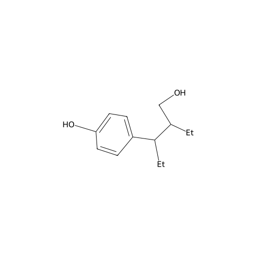 CCC(CO)C(CC)c1ccc(O)cc1